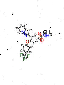 CNS(=O)(=O)c1ccc(Oc2ccc(C(F)(F)F)cc2)c(-c2cc3ccccn3n2)c1